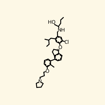 CCCC(CO)NCc1cc(Cl)c(O[C@H]2CCc3c(-c4cccc(OCCCN5CCCC5)c4C)cccc32)cc1CC(C)CC